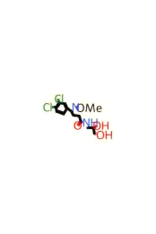 CON=C(CCC(=O)NCC(O)CO)c1ccc(Cl)c(Cl)c1